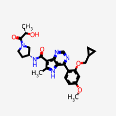 COc1ccc(-c2ncnc3c(C(=O)N[C@@H]4CCN(C(=O)[C@H](C)O)C4)c(C)[nH]c23)c(OCC2CC2)c1